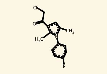 Cc1cc(C(=O)CCl)c(C)n1-c1ccc(F)cc1